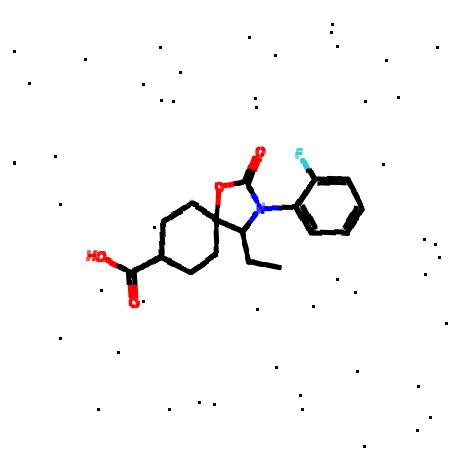 CCC1N(c2ccccc2F)C(=O)OC12CCC(C(=O)O)CC2